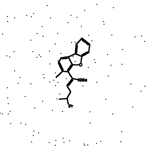 CN/C(=C\CC(C)C(C)C)c1c(C)ccc2c1oc1ccccc12